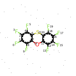 Fc1c(F)c(F)c2c(c1F)Oc1c(F)c(F)c(F)c(F)c1S2